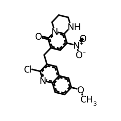 COc1ccc2nc(Cl)c(Cc3cc([N+](=O)[O-])c4n(c3=O)CCCN4)cc2c1